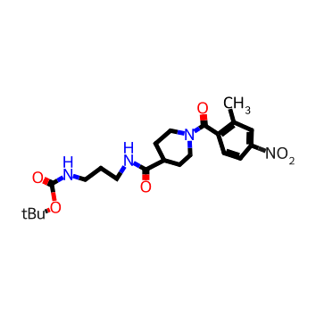 Cc1cc([N+](=O)[O-])ccc1C(=O)N1CCC(C(=O)NCCCNC(=O)OC(C)(C)C)CC1